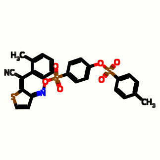 Cc1ccc(S(=O)(=O)Oc2ccc(S(=O)(=O)O/N=C3/C=CS/C3=C(\C#N)c3ccccc3C)cc2)cc1